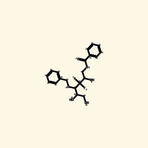 O=C(OCC(O)C(F)(F)C(OCc1ccccc1)C(O)CO)c1ccccc1